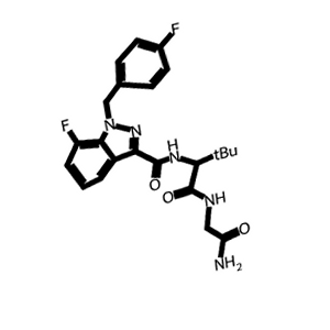 CC(C)(C)C(NC(=O)c1nn(Cc2ccc(F)cc2)c2c(F)cccc12)C(=O)NCC(N)=O